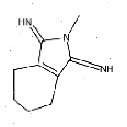 CN1C(=N)C2=C(CCCC2)C1=N